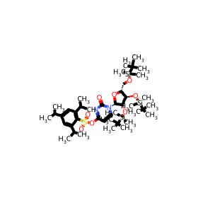 CC(C)c1cc(C(C)C)c(S(=O)(=O)Oc2ccn([C@@H]3O[C@H](CO[Si](C)(C)C(C)(C)C)[C@@H](O[Si](C)(C)C(C)(C)C)[C@@H]3O[Si](C)(C)C(C)(C)C)c(=O)n2)c(C(C)C)c1